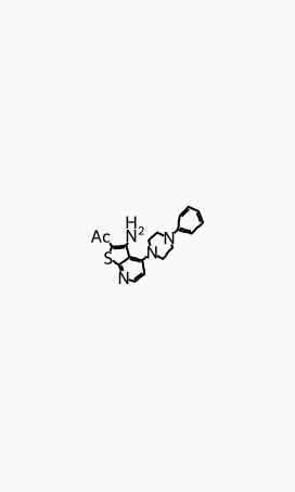 CC(=O)c1sc2nccc(N3CCN(c4ccccc4)CC3)c2c1N